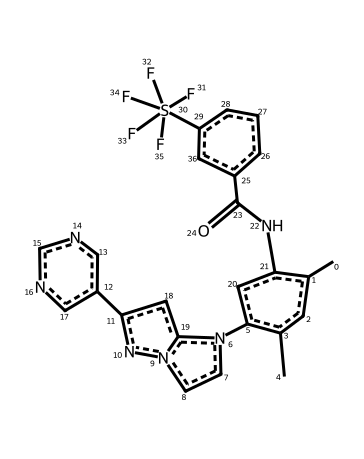 Cc1cc(C)c(-n2ccn3nc(-c4cncnc4)cc23)cc1NC(=O)c1cccc(S(F)(F)(F)(F)F)c1